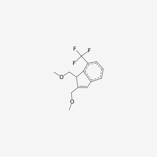 COCC1=Cc2cccc(C(F)(F)F)c2C1COC